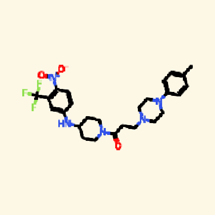 Cc1ccc(N2CCN(CCC(=O)N3CCC(Nc4ccc([N+](=O)[O-])c(C(F)(F)F)c4)CC3)CC2)cc1